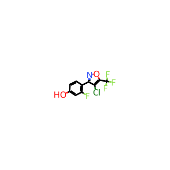 Oc1ccc(-c2noc(C(F)(F)F)c2Cl)c(F)c1